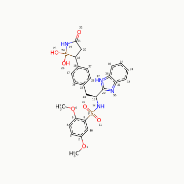 COc1ccc(OC)c(S(=O)(=O)N[C@@H](Cc2ccc(C3CC(=O)NS3(O)O)cc2)c2nc3ccccc3[nH]2)c1